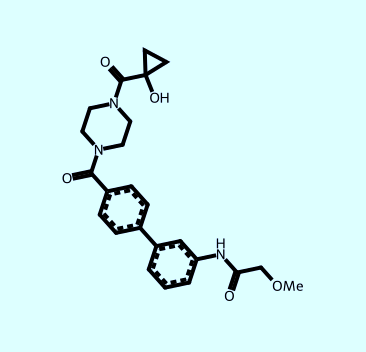 COCC(=O)Nc1cccc(-c2ccc(C(=O)N3CCN(C(=O)C4(O)CC4)CC3)cc2)c1